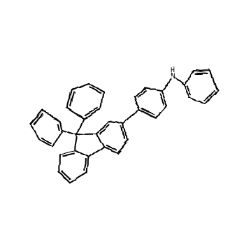 c1ccc(Nc2ccc(-c3ccc4c(c3)C(c3ccccc3)(c3ccccc3)c3ccccc3-4)cc2)cc1